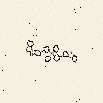 c1ccc([Si](c2ccccc2)(c2cccc(-c3ccc4sc5ccccc5c4c3)c2)c2cccc(-c3ccc4nc5n(c4c3)-c3ccccc3CS5)c2)cc1